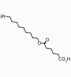 CC(C)CCCCCCCCCOC(=O)CCCCC(=O)O